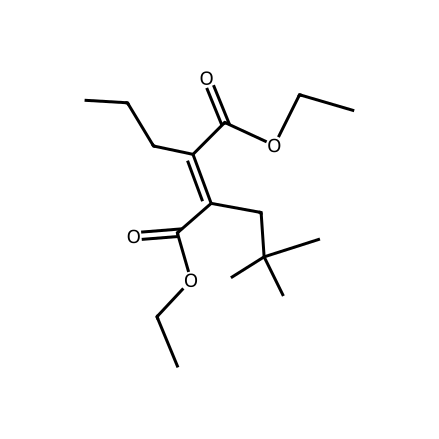 CCCC(C(=O)OCC)=C(CC(C)(C)C)C(=O)OCC